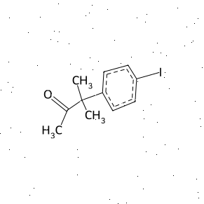 CC(=O)C(C)(C)c1ccc(I)cc1